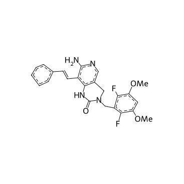 COc1cc(OC)c(F)c(CN2Cc3cnc(N)c(C=Cc4ccccc4)c3NC2=O)c1F